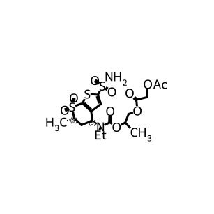 CCN(C(=O)OC(C)COC(=O)COC(C)=O)[C@H]1C[C@H](C)S(=O)(=O)c2sc(S(N)(=O)=O)cc21